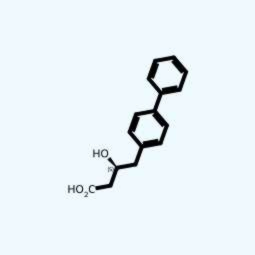 O=C(O)C[C@@H](O)Cc1ccc(-c2ccccc2)cc1